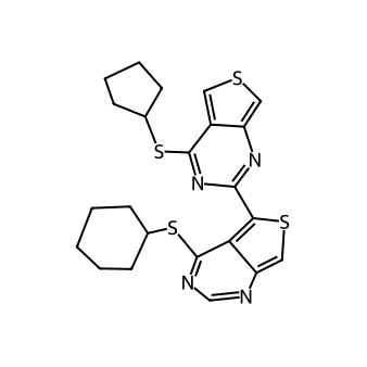 c1nc(SC2CCCCC2)c2c(-c3nc(SC4CCCC4)c4cscc4n3)scc2n1